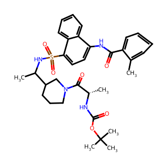 Cc1ccccc1C(=O)Nc1ccc(S(=O)(=O)NC(C)C2CCCN(C(=O)[C@H](C)NC(=O)OC(C)(C)C)C2)c2ccccc12